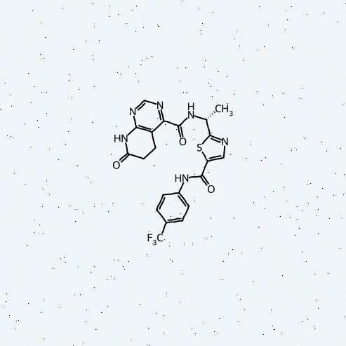 C[C@@H](NC(=O)c1ncnc2c1CCC(=O)N2)c1ncc(C(=O)Nc2ccc(C(F)(F)F)cc2)s1